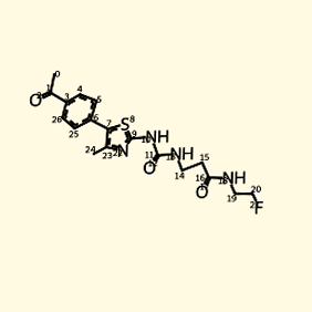 CC(=O)c1ccc(-c2sc(NC(=O)NCCC(=O)NCCF)nc2C)cc1